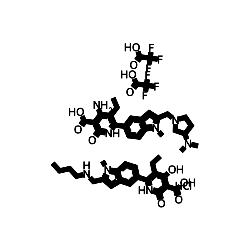 CCCCNCc1cc2cc(-c3[nH]c(=O)c(C(=O)O)c(O)c3CC)ccc2n1C.CCc1c(-c2ccc3c(c2)cc(CN2CCC(N(C)C)C2)n3C)[nH]c(=O)c(C(=O)O)c1N.Cl.O=C(O)C(F)(F)F.O=C(O)C(F)(F)F